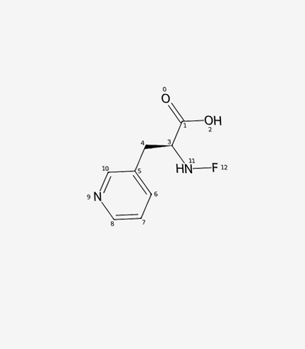 O=C(O)[C@H](Cc1cccnc1)NF